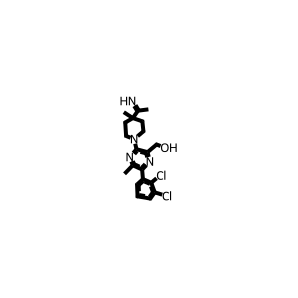 CC(=N)C1(C)CCN(c2nc(C)c(-c3cccc(Cl)c3Cl)nc2CO)CC1